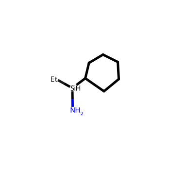 CC[SiH](N)C1CCCCC1